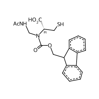 CC(=O)NCN(C(=O)OCC1c2ccccc2-c2ccccc21)[C@@H](CS)C(=O)O